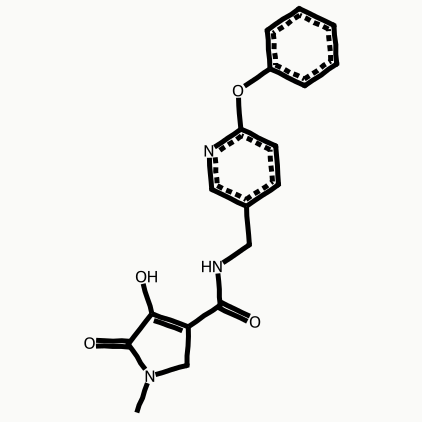 CN1CC(C(=O)NCc2ccc(Oc3ccccc3)nc2)=C(O)C1=O